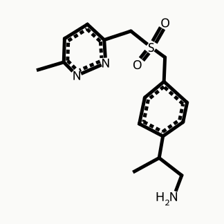 Cc1ccc(CS(=O)(=O)Cc2ccc(C(C)CN)cc2)nn1